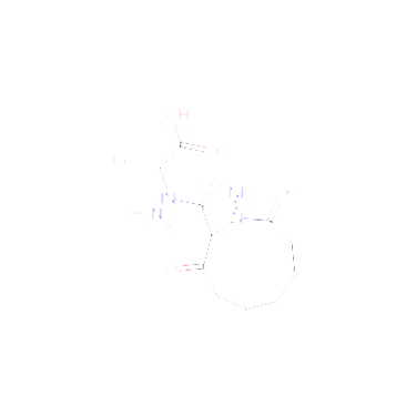 C[C@@H](NC(=O)[C@]1(CN)C(=O)CCCCCC(=O)N1N)C(=O)O